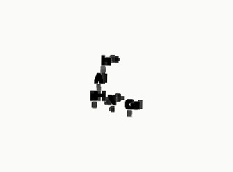 B.[Al].[Ga].[In+3].[N-3]